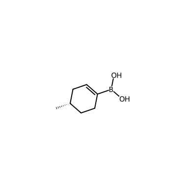 C[C@@H]1CC=C(B(O)O)CC1